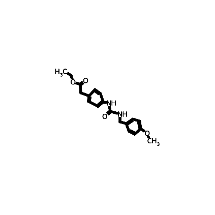 CCOC(=O)Cc1ccc(NC(=O)NCc2ccc(OC)cc2)cc1